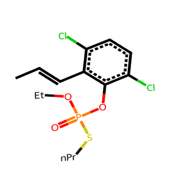 CC=Cc1c(Cl)ccc(Cl)c1OP(=O)(OCC)SCCC